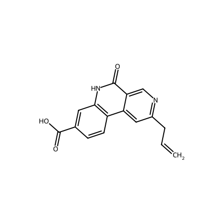 C=CCc1cc2c(cn1)c(=O)[nH]c1cc(C(=O)O)ccc12